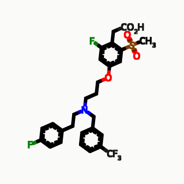 CS(=O)(=O)c1cc(OCCCN(CCc2ccc(F)cc2)Cc2cccc(C(F)(F)F)c2)cc(F)c1CC(=O)O